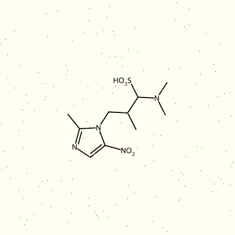 Cc1ncc([N+](=O)[O-])n1CC(C)C(N(C)C)S(=O)(=O)O